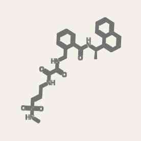 CNS(=O)(=O)/C=C/CNC(=O)C(=O)NCc1ccccc1C(=O)N[C@H](C)c1cccc2ccccc12